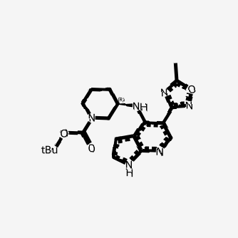 Cc1nc(-c2cnc3[nH]ccc3c2N[C@@H]2CCCN(C(=O)OC(C)(C)C)C2)no1